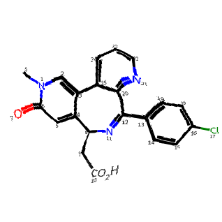 Cn1cc2c(cc1=O)[C@H](CC(=O)O)N=C(c1ccc(Cl)cc1)c1ncccc1-2